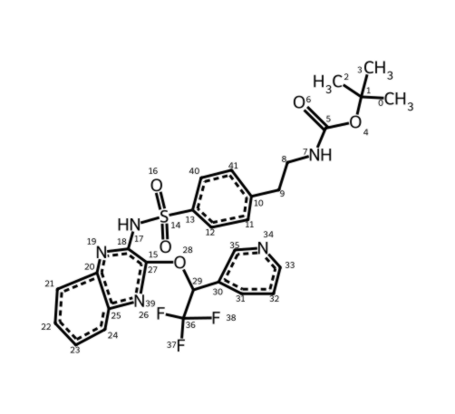 CC(C)(C)OC(=O)NCCc1ccc(S(=O)(=O)Nc2nc3ccccc3nc2OC(c2cccnc2)C(F)(F)F)cc1